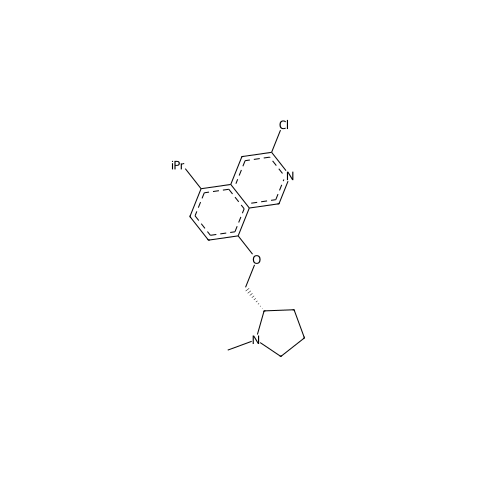 CC(C)c1ccc(OC[C@@H]2CCCN2C)c2cnc(Cl)cc12